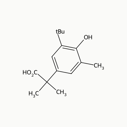 Cc1cc(C(C)(C)C(=O)O)cc(C(C)(C)C)c1O